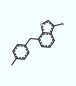 Cc1ccc(Cc2cccc3c(Br)csc23)cc1